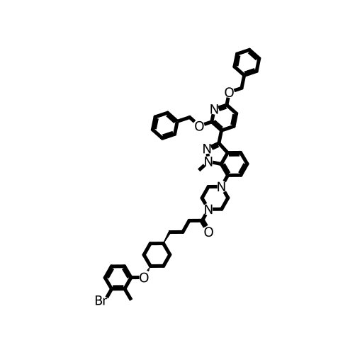 Cc1c(Br)cccc1O[C@H]1CC[C@H](CCCC(=O)N2CCN(c3cccc4c(-c5ccc(OCc6ccccc6)nc5OCc5ccccc5)nn(C)c34)CC2)CC1